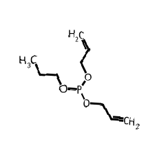 C=CCOP(OCC=C)OCCC